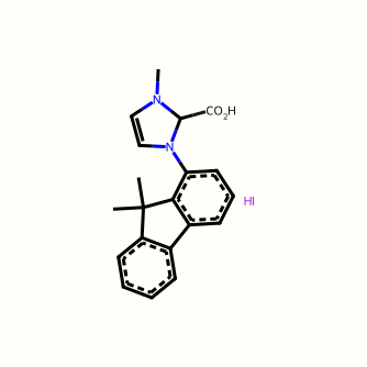 CN1C=CN(c2cccc3c2C(C)(C)c2ccccc2-3)C1C(=O)O.I